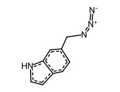 [N-]=[N+]=NCc1ccc2cc[nH]c2c1